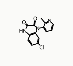 Cc1ncccc1-n1c(=O)c(=O)[nH]c2ccc(Cl)cc21